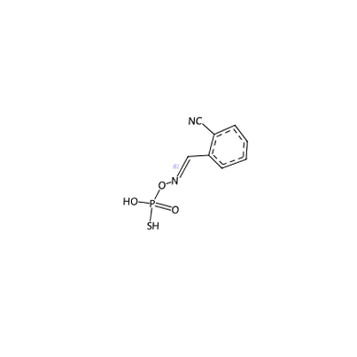 N#Cc1ccccc1/C=N/OP(=O)(O)S